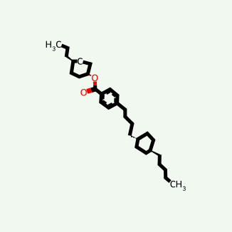 CCCCC[C@H]1CC[C@H](CCCCc2ccc(C(=O)O[C@H]3CC[C@H](CCC)CC3)cc2)CC1